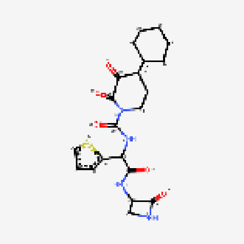 O=C1NCC1NC(=O)C(NC(=O)N1CCC(C2CCCCC2)C(=O)C1=O)c1cccs1